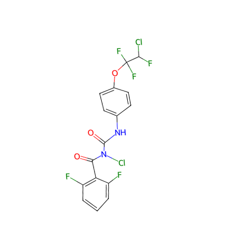 O=C(Nc1ccc(OC(F)(F)C(F)Cl)cc1)N(Cl)C(=O)c1c(F)cccc1F